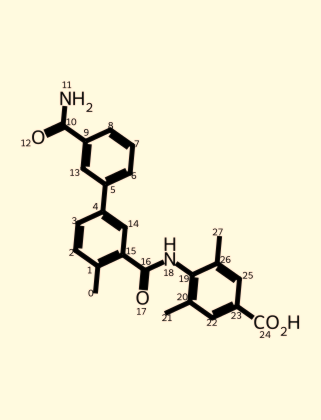 Cc1ccc(-c2cccc(C(N)=O)c2)cc1C(=O)Nc1c(C)cc(C(=O)O)cc1C